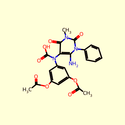 CC(=O)Oc1cc(OC(C)=O)cc(N(C(=O)O)c2c(N)n(-c3ccccc3)c(=O)n(C)c2=O)c1